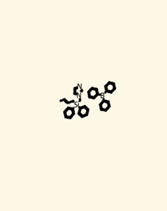 CC=CC[Si](Cn1ccnc1)(c1ccccc1)c1ccccc1.c1ccc(B(c2ccccc2)c2ccccc2)cc1